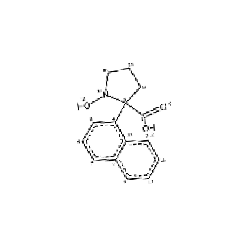 O=C(O)C1(c2cccc3ccccc23)CCCN1O